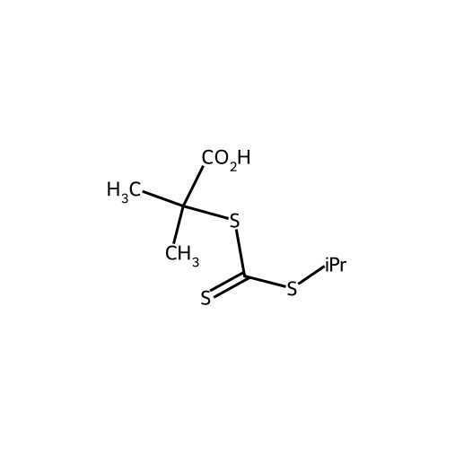 CC(C)SC(=S)SC(C)(C)C(=O)O